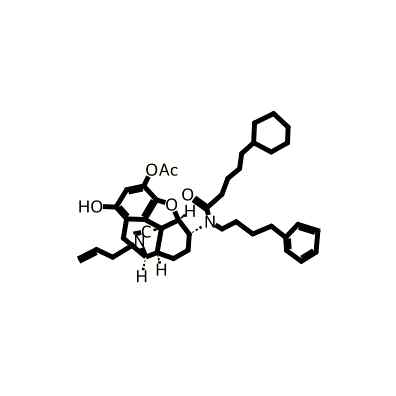 C=CCN1CC[C@]23c4c5c(O)cc(OC(C)=O)c4O[C@H]2[C@H](N(CCCCc2ccccc2)C(=O)CCCCC2CCCCC2)CC[C@H]3[C@H]1C5